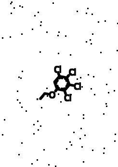 [CH2]COc1cc(Cl)c(Cl)c(Cl)c1Cl